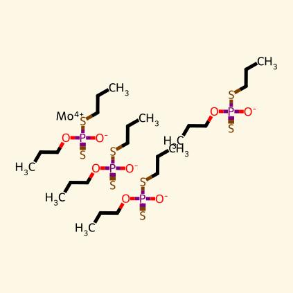 CCCOP([O-])(=S)SCCC.CCCOP([O-])(=S)SCCC.CCCOP([O-])(=S)SCCC.CCCOP([O-])(=S)SCCC.[Mo+4]